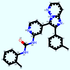 Cc1cccc(-c2nc3cccnn3c2-c2ccnc(NC(=O)Nc3ccccc3C)c2)c1